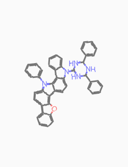 c1ccc(C2NC(c3ccccc3)NC(n3c4ccccc4c4c5c(ccc43)c3c4oc6ccccc6c4ccc3n5-c3ccccc3)N2)cc1